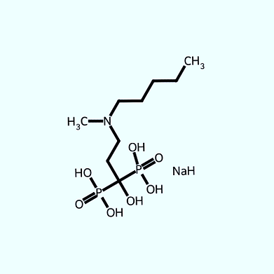 CCCCCN(C)CCC(O)(P(=O)(O)O)P(=O)(O)O.[NaH]